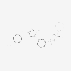 CCn1nc(Oc2ccc(C(F)(F)F)cc2)cc1-c1cccc(C(C)(C)NS(=O)(=O)N2CCCCC2)c1